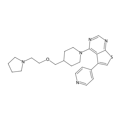 c1cc(-c2csc3ncnc(N4CCC(COCCN5CCCC5)CC4)c23)ccn1